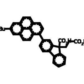 CC(C)(C)c1cc2ccc3ccc(-c4ccc5c(c4)C(CCC(=O)O)(C(=O)O)c4ccccc4-5)c4ccc(c1)c2c34